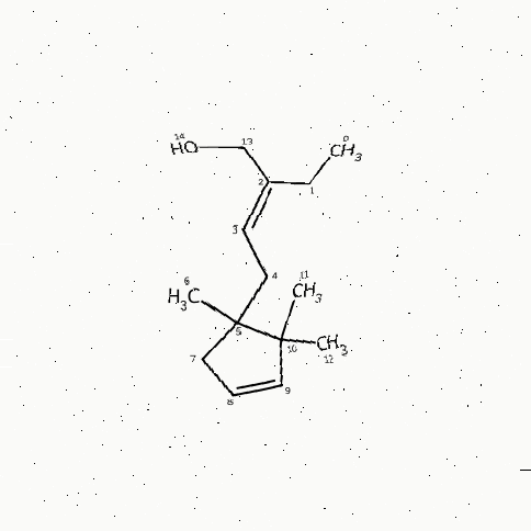 CC/C(=C\CC1(C)CC=CC1(C)C)CO